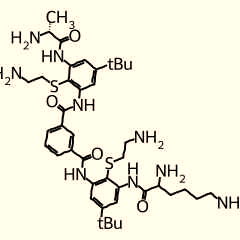 C[C@@H](N)C(=O)Nc1cc(C(C)(C)C)cc(NC(=O)c2cccc(C(=O)Nc3cc(C(C)(C)C)cc(NC(=O)C(N)CCCCN)c3SCCN)c2)c1SCCN